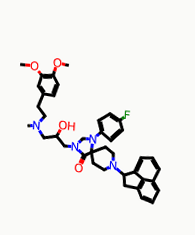 COc1ccc(CCN(C)CC(O)CN2CN(c3ccc(F)cc3)C3(CCN(C4Cc5cccc6cccc4c56)CC3)C2=O)cc1OC